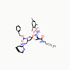 Cc1cc(C)c(S(=O)(=O)N[N+]2=C(C(=O)NCCC(=O)O)C[C@@]3(CC(CNc4ccccn4)N(C(=O)OCc4ccccc4)C3)O2)c(C)c1